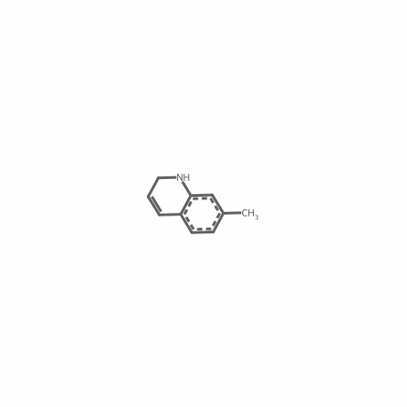 Cc1ccc2c(c1)NCC=C2